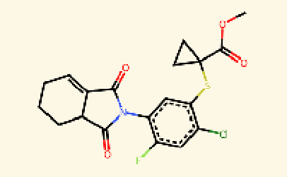 COC(=O)C1(Sc2cc(N3C(=O)C4=CCCCC4C3=O)c(F)cc2Cl)CC1